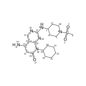 CS(=O)(=O)N1CCC(Nc2ncc3c(N)cc(=O)n(C4CCCCC4)c3n2)CC1